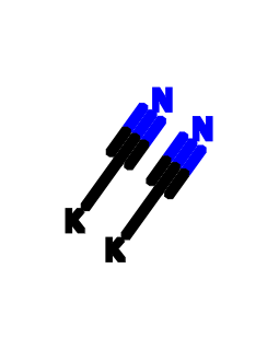 N#[C][K].N#[C][K]